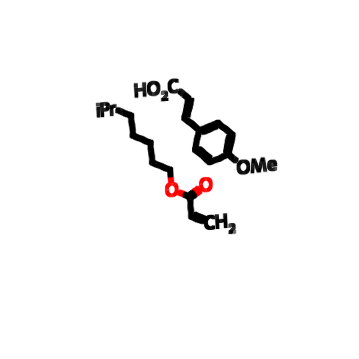 C=CC(=O)OCCCCCC(C)C.COc1ccc(C=CC(=O)O)cc1